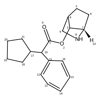 O=C(OC1C2CC[C@@H]1NC2)C(c1ccccc1)C1CCCC1